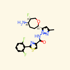 Cc1cc([C@@H]2CC[C@@H](N)[C@H](F)CO2)n(NC(=O)c2csc(-c3c(F)cccc3F)n2)n1